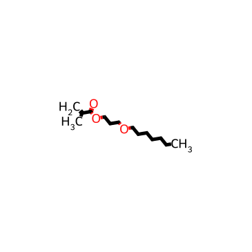 C=C(C)C(=O)OCCCOCCCCCCC